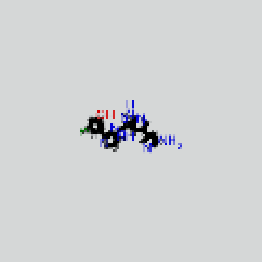 Nc1cncc(-c2cnc3[nH]nc(-c4nc5c(-c6cc(O)cc(F)c6)nccc5[nH]4)c3c2)c1